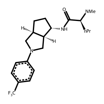 CCC[C@H](NC)C(=O)N[C@H]1CC[C@@H]2CN(c3ccc(C(F)(F)F)cc3)C[C@@H]21